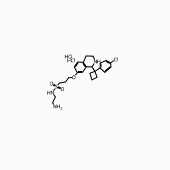 Cl.Cl.NCCNS(=O)(=O)CCCOc1ccc2c(c1)C(C1(c3ccc(Cl)cc3)CCC1)NCC2